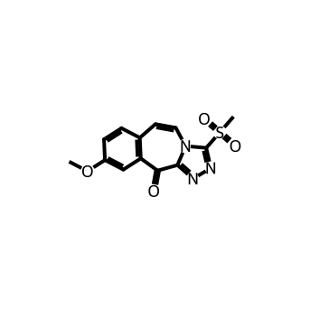 COc1ccc2ccn3c(S(C)(=O)=O)nnc3c(=O)c2c1